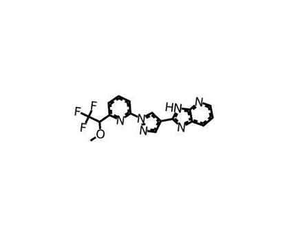 COC(c1cccc(-n2cc(-c3nc4cccnc4[nH]3)cn2)n1)C(F)(F)F